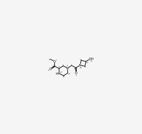 COC(=O)C1CN(CC(=O)N2CC(O)C2)CCN1